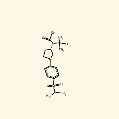 CN(C)S(=O)(=O)c1ccc(N2CC[C@H](N(C(=O)O)C(C)(C)C)C2)cc1